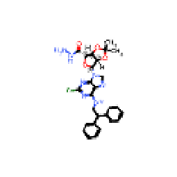 CC1(C)O[C@@H]2[C@H](O1)[C@@H](C(=O)NN)O[C@H]2n1cnc2c(NCC(c3ccccc3)c3ccccc3)nc(Cl)nc21